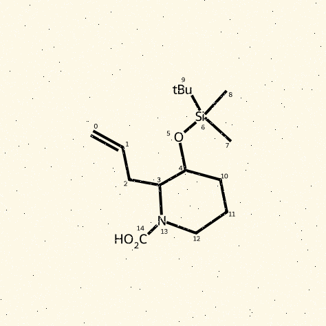 C=CCC1C(O[Si](C)(C)C(C)(C)C)CCCN1C(=O)O